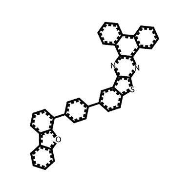 c1ccc2c(c1)oc1c(-c3ccc(-c4ccc5sc6nc7c8ccccc8c8ccccc8c7nc6c5c4)cc3)cccc12